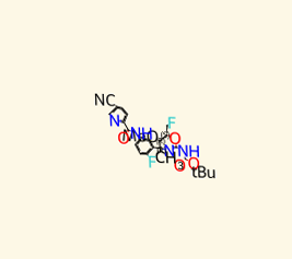 CO[C@H]1[C@@H](CF)OC(NC(=O)OC(C)(C)C)=N[C@]1(C)c1cc(NC(=O)c2ccc(C#N)cn2)ccc1F